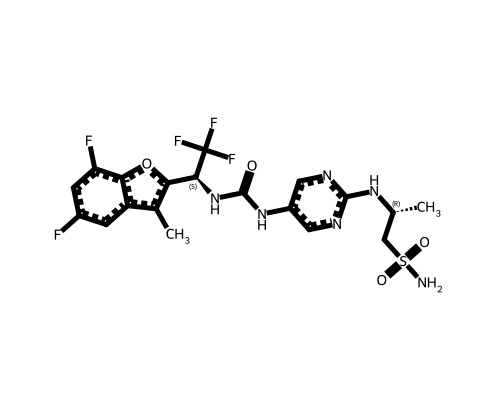 Cc1c([C@H](NC(=O)Nc2cnc(N[C@H](C)CS(N)(=O)=O)nc2)C(F)(F)F)oc2c(F)cc(F)cc12